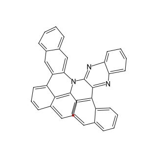 c1ccc2cc3c(cc2c1)-c1cccc2cccc(c12)N3c1nc2ccccc2nc1-c1cccc2ccccc12